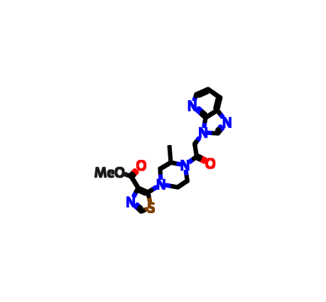 COC(=O)c1ncsc1N1CCN(C(=O)Cn2cnc3cccnc32)C(C)C1